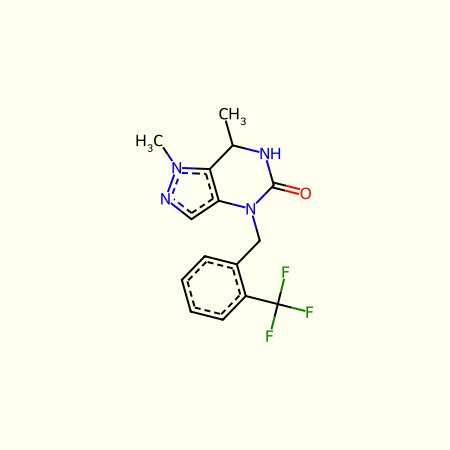 CC1NC(=O)N(Cc2ccccc2C(F)(F)F)c2cnn(C)c21